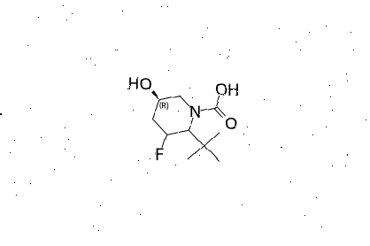 CC(C)(C)C1C(F)C[C@@H](O)CN1C(=O)O